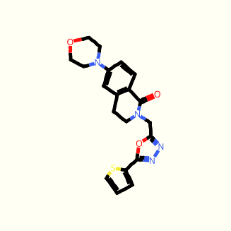 O=C1c2ccc(N3CCOCC3)cc2CCN1Cc1nnc(-c2cccs2)o1